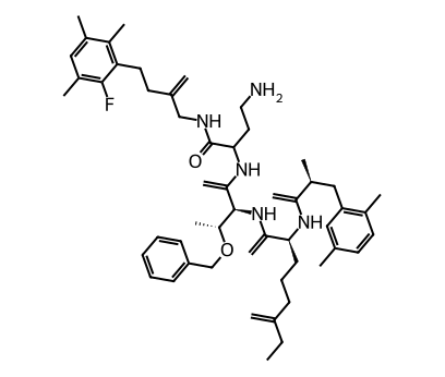 C=C(CC)CCC[C@H](NC(=C)[C@@H](C)Cc1cc(C)ccc1C)C(=C)N[C@H](C(=C)NC(CCN)C(=O)NCC(=C)CCc1c(C)c(C)cc(C)c1F)[C@@H](C)OCc1ccccc1